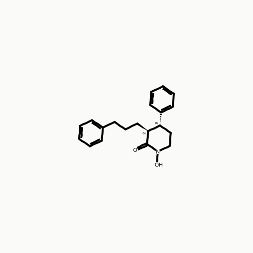 O=C1[C@@H](CCCc2ccccc2)[C@H](c2ccccc2)CCN1O